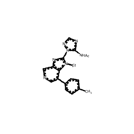 CCn1c(-n2ncnc2NC(C)=O)nc2cncc(-c3ccc(C)cc3)c21